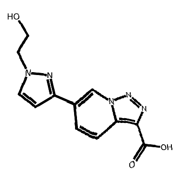 O=C(O)c1nnn2cc(-c3ccn(CCO)n3)ccc12